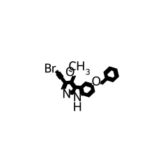 COCc1c(C#CBr)cnc2[nH]c3ccc(OCc4ccccc4)cc3c12